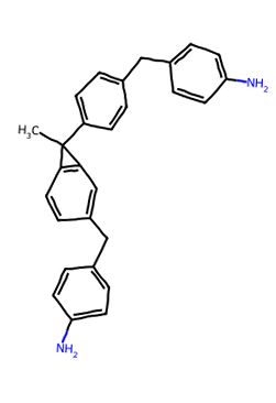 CC1(c2ccc(Cc3ccc(N)cc3)cc2)c2ccc(Cc3ccc(N)cc3)cc21